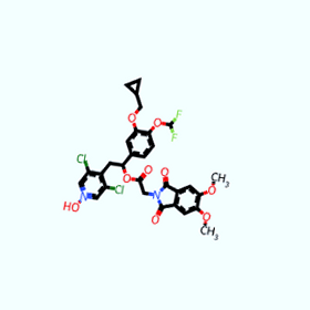 COc1cc2c(cc1OC)C(=O)N(CC(=O)OC(Cc1c(Cl)c[n+](O)cc1Cl)c1ccc(OC(F)F)c(OCC3CC3)c1)C2=O